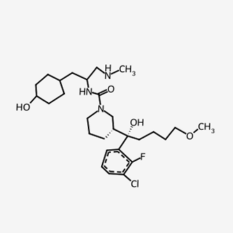 CNCC(CC1CCC(O)CC1)NC(=O)N1CCC[C@@H]([C@@](O)(CCCCOC)c2cccc(Cl)c2F)C1